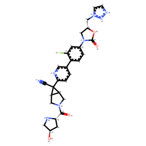 N#CC1(c2ccc(-c3ccc(N4C[C@H](Cn5ccnn5)OC4=O)cc3F)cn2)C2CN(C(=O)[C@@H]3C[C@@H](O)CN3)CC21